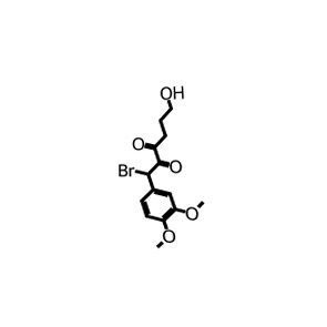 COc1ccc(C(Br)C(=O)C(=O)CCCO)cc1OC